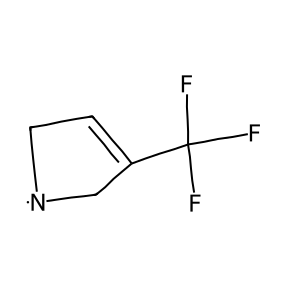 FC(F)(F)C1=CC[N]C1